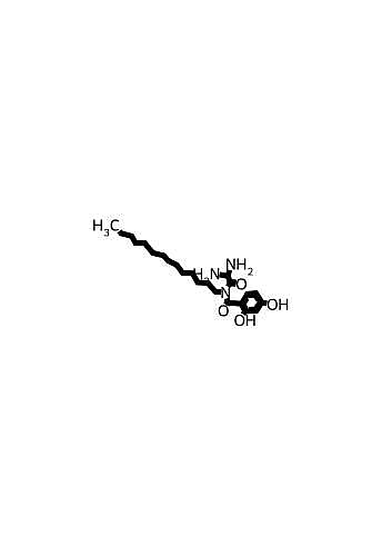 CCCCCCCCCCCCCCN(C(=O)c1ccc(O)cc1O)C(=O)C(N)N